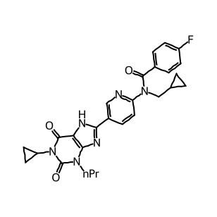 CCCn1c(=O)n(C2CC2)c(=O)c2[nH]c(-c3ccc(N(CC4CC4)C(=O)c4ccc(F)cc4)nc3)nc21